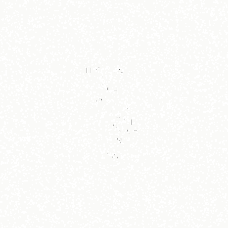 C/C(=N\c1c(I)cc(I)c(C(=O)NCC(C)C#N)c1I)N1CCOCC1